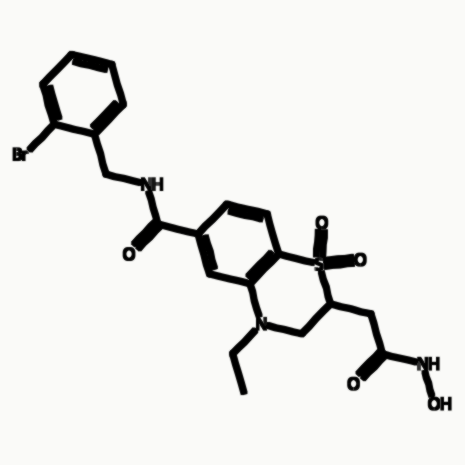 CCN1CC(CC(=O)NO)S(=O)(=O)c2ccc(C(=O)NCc3ccccc3Br)cc21